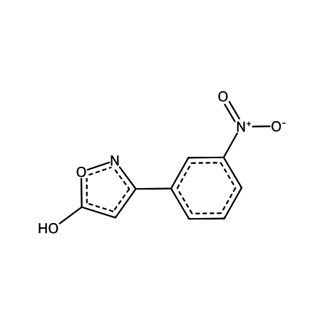 O=[N+]([O-])c1cccc(-c2cc(O)on2)c1